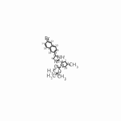 C[C@H]1C[C@@H](C2=NCC(c3ccc4cc(Br)ccc4c3)N2)N(C(=O)OC(C)(C)C)C1